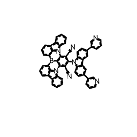 N#Cc1c(-n2c3ccc(-c4cccnc4)cc3c3cc(-c4cccnc4)ccc32)c(C#N)c2c3c1-n1c4ccccc4c4cccc(c41)B3c1cccc3c4ccccc4n-2c13